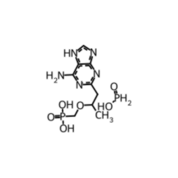 CC(Cc1nc(N)c2[nH]cnc2n1)OCP(=O)(O)O.O=[PH2]O